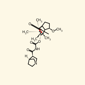 CO[C@@H]1CCC23CC[C@@H](C)[C@](C)(C12)[C@H](OC(=O)NC(=O)[C@H]1CN2CC[C@@H]1C2)C[C@H](C)C(=O)[C@@H]3C